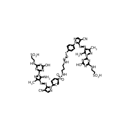 [C-]#[N+]c1cnn(-c2ccc(S(=O)(=O)NCCCNOOSc3ccc(-n4ncc(C#N)c4/N=N/c4c(C)nn(-c5nc(O)nc(NCCS(=O)(=O)O)n5)c4N)cc3)cc2)c1/N=N/c1c(C)nn(-c2nc(O)nc(NCCS(=O)(=O)O)n2)c1N